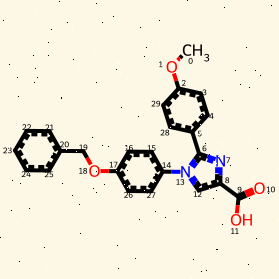 COc1ccc(-c2nc(C(=O)O)cn2-c2ccc(OCc3ccccc3)cc2)cc1